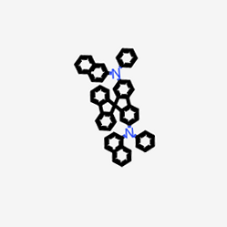 c1ccc(N(c2ccc3c(c2)C2(c4ccccc4-c4ccccc42)c2cc(N(c4ccccc4)c4cccc5ccccc45)ccc2-3)c2ccc3ccccc3c2)cc1